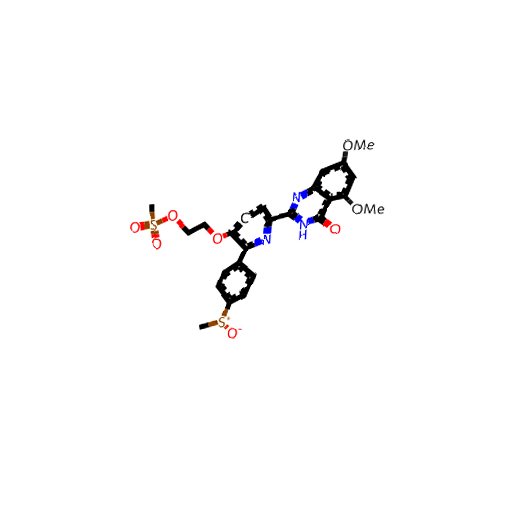 COc1cc(OC)c2c(=O)[nH]c(-c3ccc(OCCOS(C)(=O)=O)c(-c4ccc([S+](C)[O-])cc4)n3)nc2c1